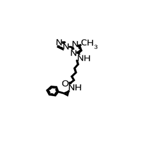 Cc1cc(NCCCCCCC(=O)NC2CC2c2ccccc2)nc(-n2ccnc2)n1